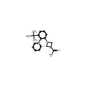 CC(C)(C)c1cccc(N2CC(C(=O)O)C2)c1-[n+]1ccccc1